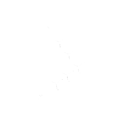 O.O.O.O.O.OB(O)O.OB(O)O.OB(O)O.[Ca+2].[Na+].[Na+].[O-]B(O)O.[O-]B([O-])[O-]